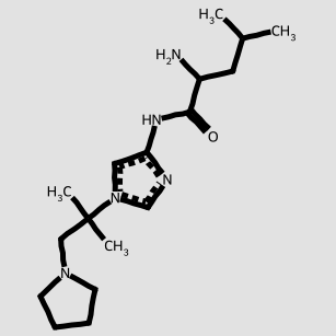 CC(C)CC(N)C(=O)Nc1cn(C(C)(C)CN2CCCC2)cn1